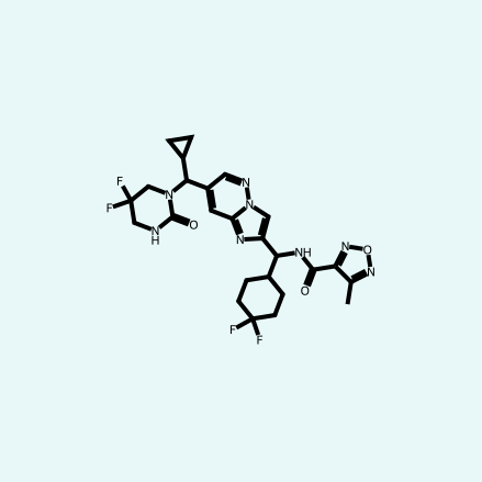 Cc1nonc1C(=O)NC(c1cn2ncc(C(C3CC3)N3CC(F)(F)CNC3=O)cc2n1)C1CCC(F)(F)CC1